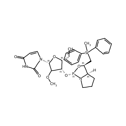 CC[C@H]1O[C@@H](n2ccc(=O)[nH]c2=O)C(OC)[C@H]1O[P@]1O[C@@H](C[Si](C)(c2ccccc2)c2ccccc2)[C@H]2CCCN21